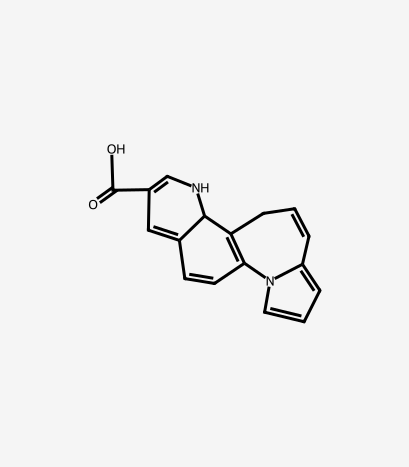 O=C(O)C1=CNC2C(=C1)C=CC1=C2CC=Cc2cccn21